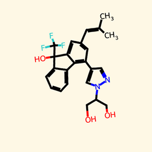 CC(C)=Cc1cc(-c2cnn(C(CO)CO)c2)c2c(c1)C(O)(C(F)(F)F)c1ccccc1-2